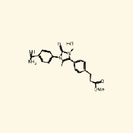 COC(=O)CCc1ccc(-c2c(C)n(-c3ccc(C(=N)N)cc3)c(=O)n2C)cc1.Cl